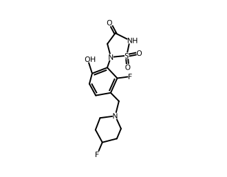 O=C1CN(c2c(O)ccc(CN3CCC(F)CC3)c2F)S(=O)(=O)N1